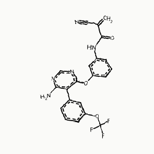 C=C(C#N)C(=O)Nc1cccc(Oc2ncnc(N)c2-c2cccc(OC(F)(F)F)c2)c1